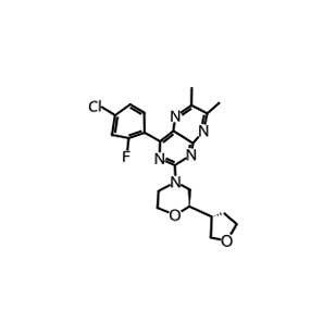 Cc1nc2nc(N3CCO[C@H]([C@@H]4CCOC4)C3)nc(-c3ccc(Cl)cc3F)c2nc1C